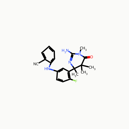 CN1C(=O)C(C)(C)C(C)(c2cc(Nc3ccccc3C#N)ccc2F)N=C1N